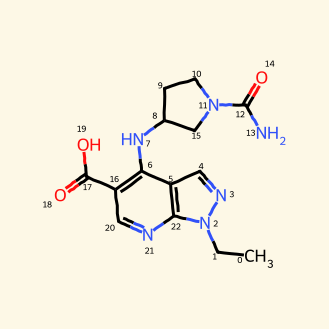 CCn1ncc2c(NC3CCN(C(N)=O)C3)c(C(=O)O)cnc21